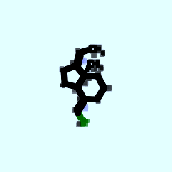 C/C=C1/CCC2/C(=C/Br)CCC[C@]12C